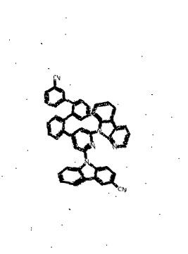 N#Cc1cccc(-c2ccccc2-c2ccccc2-c2cc(-n3c4ccccc4c4cc(C#N)ccc43)nc(-n3c4ccccc4c4cccnc43)c2)c1